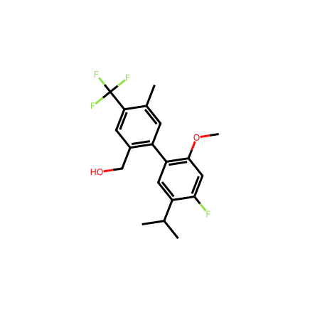 COc1cc(F)c(C(C)C)cc1-c1cc(C)c(C(F)(F)F)cc1CO